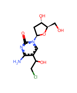 Nc1nc(=O)n([C@H]2C[C@H](O)[C@@H](CO)O2)cc1C(O)CCl